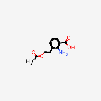 CC(=O)OCCc1cccc(C(=O)O)c1N